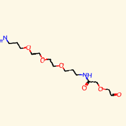 NCCCOCCOCCOCCCNC(=O)COCC=O